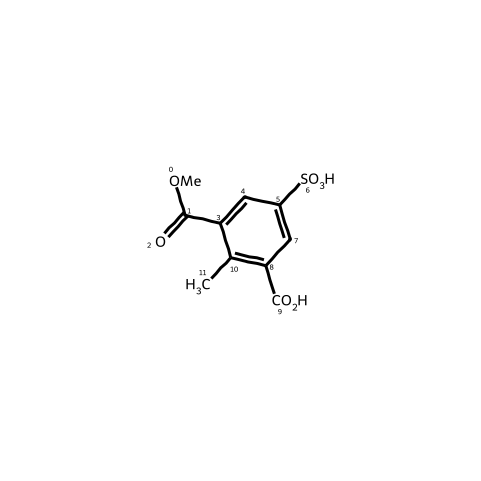 COC(=O)c1cc(S(=O)(=O)O)cc(C(=O)O)c1C